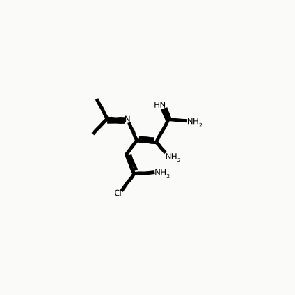 CC(C)=NC(/C=C(\N)Cl)=C(/N)C(=N)N